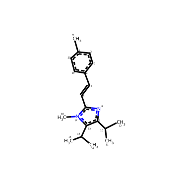 Cc1ccc(C=Cc2nc(C(C)C)c(C(C)C)n2C)cc1